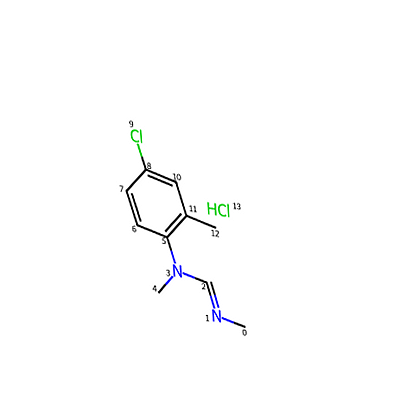 CN=CN(C)c1ccc(Cl)cc1C.Cl